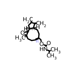 C=C1C[C@H]2[C@@H](CC/C(COC(=O)NC(C)C)=C\CC[C@@]3(C)O[C@@H]23)C1=C